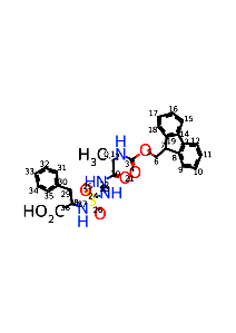 C[C@H](NC(=O)OCC1c2ccccc2-c2ccccc21)C(=O)NNS(=O)(=O)N[C@H](Cc1ccccc1)C(=O)O